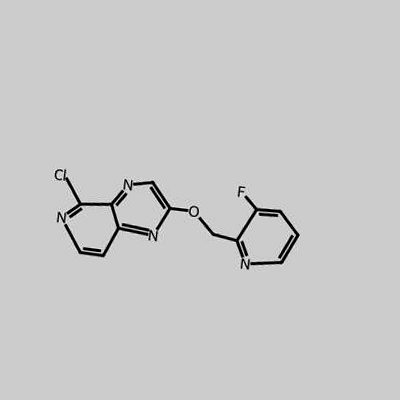 Fc1cccnc1COc1cnc2c(Cl)nccc2n1